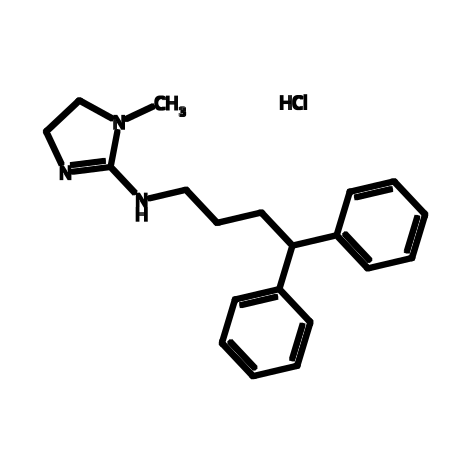 CN1CCN=C1NCCCC(c1ccccc1)c1ccccc1.Cl